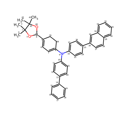 CC1(C)OB(C2=CC=C(N(c3ccc(-c4ccccc4)cc3)c3ccc(-c4ccc5ccccc5c4)cc3)CC2)OC1(C)C